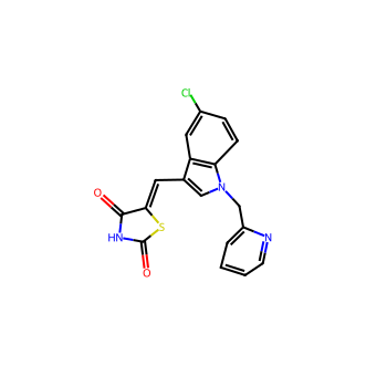 O=C1NC(=O)/C(=C/c2cn(Cc3ccccn3)c3ccc(Cl)cc23)S1